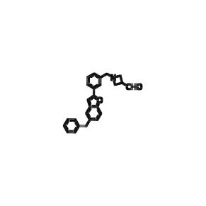 O=CC1CN(Cc2cccc(-c3cc4cc(Cc5ccccc5)ccc4o3)c2)C1